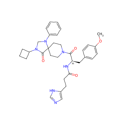 COc1ccc(C[C@@H](NC(=O)CCc2cnc[nH]2)C(=O)N2CCC3(CC2)C(=O)N(C2CCC2)CN3c2ccccc2)cc1